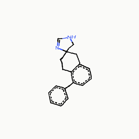 C1=NC2(CCc3c(cccc3-c3ccccc3)C2)CN1